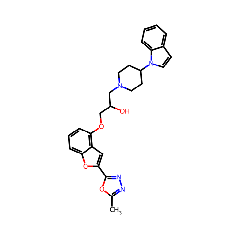 Cc1nnc(-c2cc3c(OCC(O)CN4CCC(n5ccc6ccccc65)CC4)cccc3o2)o1